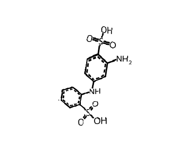 Nc1cc(Nc2cc[c]cc2S(=O)(=O)O)ccc1S(=O)(=O)O